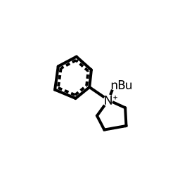 CCCC[N+]1(c2ccccc2)CCCC1